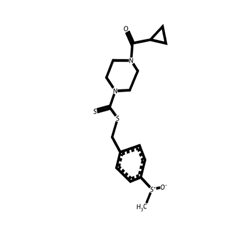 C[S+]([O-])c1ccc(CSC(=S)N2CCN(C(=O)C3CC3)CC2)cc1